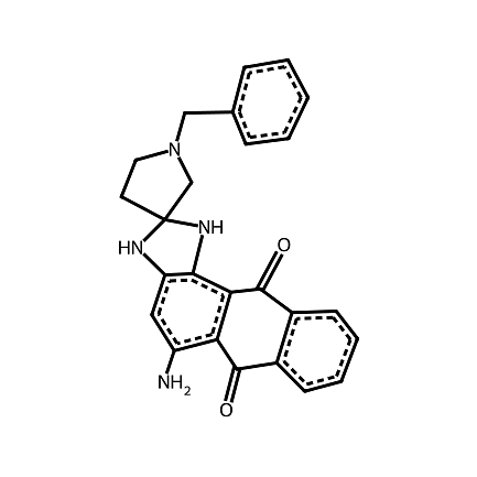 Nc1cc2c(c3c1C(=O)c1ccccc1C3=O)NC1(CCN(Cc3ccccc3)C1)N2